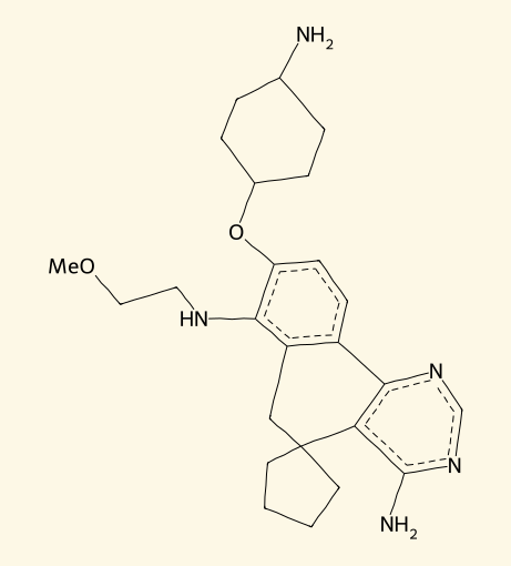 COCCNc1c(OC2CCC(N)CC2)ccc2c1CC1(CCCC1)c1c(N)ncnc1-2